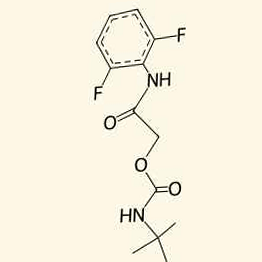 CC(C)(C)NC(=O)OCC(=O)Nc1c(F)cccc1F